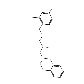 Cc1ccc(COCC(O)CN2CCc3ccccc3C2)c(Cl)c1